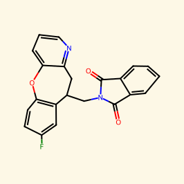 O=C1c2ccccc2C(=O)N1CC1Cc2ncccc2Oc2ccc(F)cc21